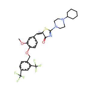 COc1cc(/C=C2/SC(N3CCN(C4CCCCC4)CC3)=NC2=O)ccc1OCc1ccc(C(F)(F)F)cc1C(F)(F)F